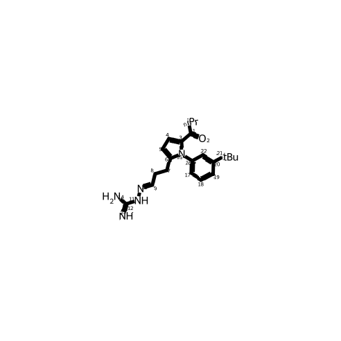 CC(C)C(=O)c1ccc(CCC=NNC(=N)N)n1-c1cccc(C(C)(C)C)c1